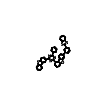 c1ccc(-c2nc(-c3ccc4sc5ccccc5c4c3)nc(-c3cccc4oc5cc(-c6cccc(-c7nc8ccccc8s7)c6)ccc5c34)n2)cc1